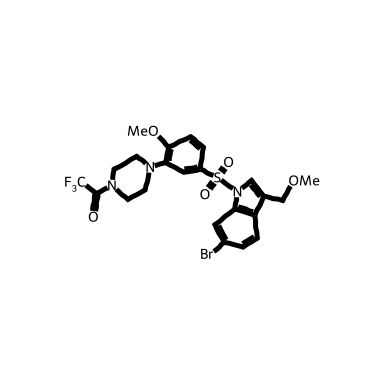 COCc1cn(S(=O)(=O)c2ccc(OC)c(N3CCN(C(=O)C(F)(F)F)CC3)c2)c2cc(Br)ccc12